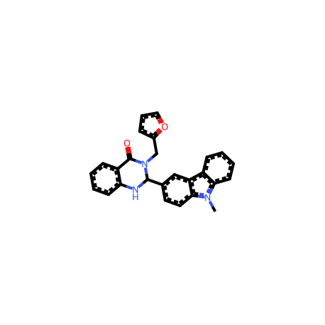 Cn1c2ccccc2c2cc(C3Nc4ccccc4C(=O)N3Cc3ccco3)ccc21